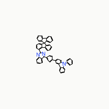 c1ccc(-n2c3ccccc3c3cc(-c4ccc(-c5nc(-c6cccc7c6-c6ccccc6C76c7ccccc7-c7ccccc76)nc6ccccc56)cc4)ccc32)cc1